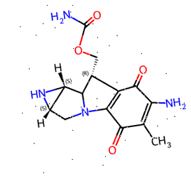 CC1=C(N)C(=O)C2=C(C1=O)N1C[C@@H]3N[C@@H]3C1[C@@H]2COC(N)=O